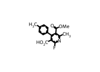 COC(=O)c1c(C)nc(F)c(C(=O)O)c1-c1ccc(C)cc1